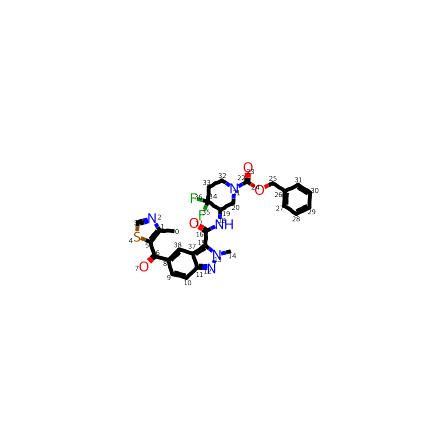 Cc1ncsc1C(=O)c1ccc2nn(C)c(C(=O)NC3CN(C(=O)OCc4ccccc4)CCC3(F)F)c2c1